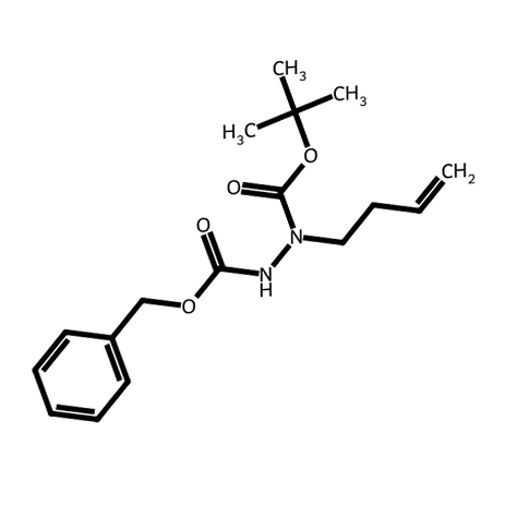 C=CCCN(NC(=O)OCc1ccccc1)C(=O)OC(C)(C)C